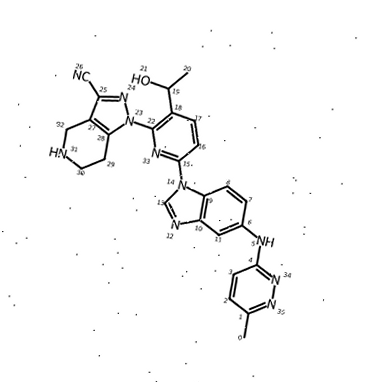 Cc1ccc(Nc2ccc3c(c2)ncn3-c2ccc(C(C)O)c(-n3nc(C#N)c4c3CCNC4)n2)nn1